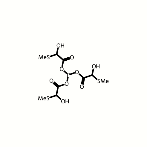 CSC(O)C(=O)OP(OC(=O)C(O)SC)OC(=O)C(O)SC